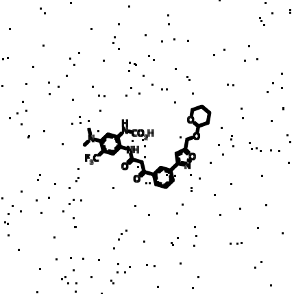 CN(C)c1cc(NC(=O)O)c(NC(=O)CC(=O)c2cccc(-c3cc(COC4CCCCO4)on3)c2)cc1C(F)(F)F